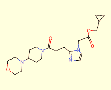 O=C(Cn1ccnc1CCC(=O)N1CCC(N2CCOCC2)CC1)OCC1CC1